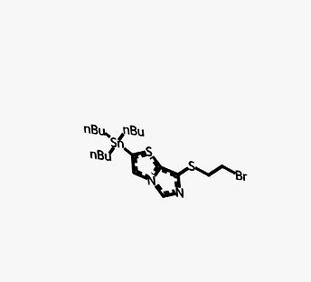 CCC[CH2][Sn]([CH2]CCC)([CH2]CCC)[c]1cn2cnc(SCCBr)c2s1